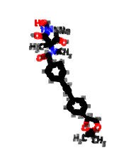 CNC(=O)C(C)(C(=O)NO)N(C)C(=O)c1ccc(C#Cc2ccc([C@H]3COC(C)(C)O3)cc2)cc1